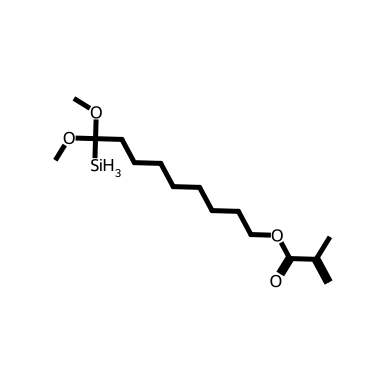 C=C(C)C(=O)OCCCCCCCCC([SiH3])(OC)OC